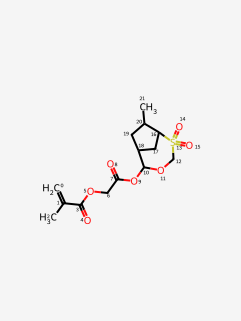 C=C(C)C(=O)OCC(=O)OC1OCS(=O)(=O)C2CC1CC2C